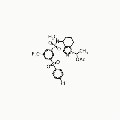 CC(=O)OC(C)n1ncc2c1CCCC2N(C)S(=O)(=O)c1cc(C(F)(F)F)cc(S(=O)(=O)c2ccc(Cl)cc2)c1